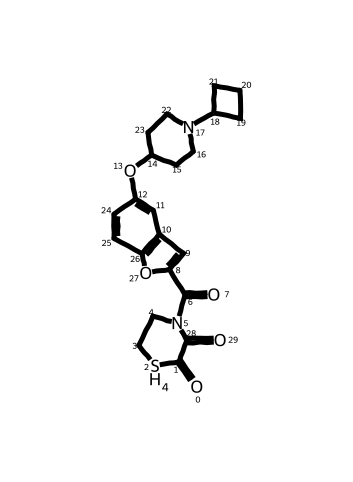 O=C1[SH4]CCN(C(=O)c2cc3cc(OC4CCN(C5CCC5)CC4)ccc3o2)C1=O